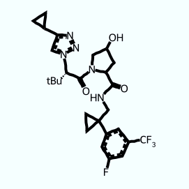 CC(C)(C)[C@@H](C(=O)N1CC(O)CC1C(=O)NCC1(c2cc(F)cc(C(F)(F)F)c2)CC1)n1cc(C2CC2)nn1